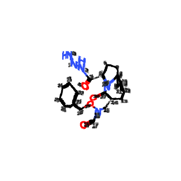 N=NNC(=O)[C@@H]1CCC23CCCC2C[C@H](CN(C=O)OCc2ccccc2)C(=O)N13